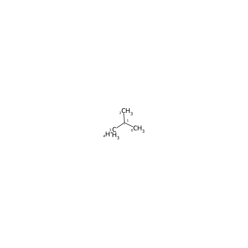 C[C](C)C.[H+]